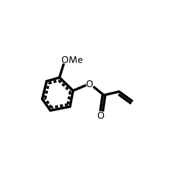 C=CC(=O)Oc1ccccc1OC